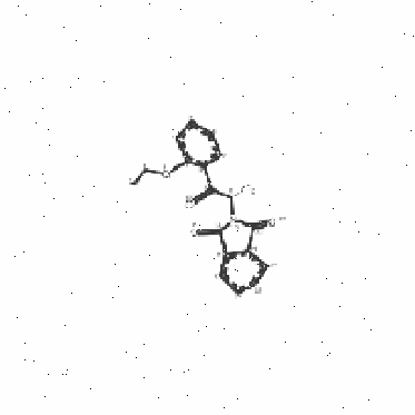 CCOc1ccccc1C(=O)[C@H](C)N1C(=O)c2ccccc2C1=O